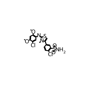 COc1cc(OC)c(N=c2scc(-c3ccc(Cl)c(S(N)(=O)=O)c3)n2C)cc1Cl